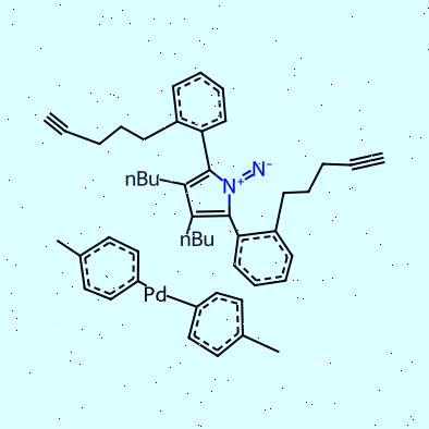 C#CCCCc1ccccc1C1=C(CCCC)C(CCCC)=C(c2ccccc2CCCC#C)[N+]1=[N-].Cc1cc[c]([Pd][c]2ccc(C)cc2)cc1